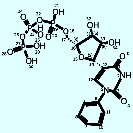 O=c1[nH]c(=O)n(-c2ccccc2)cc1[C@@H]1O[C@H](COP(=O)(O)OP(=O)(O)OP(=O)(O)O)[C@@H](O)[C@H]1O